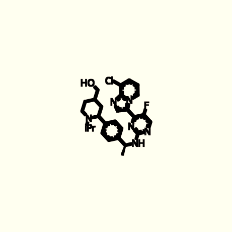 CC(C)N1CCC(CO)CC1c1ccc([C@H](C)Nc2ncc(F)c(-c3cnc4c(Cl)cccn34)n2)cc1